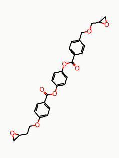 O=C(Oc1ccc(OC(=O)c2ccc(OCCC3CO3)cc2)cc1)c1ccc(COCC2CO2)cc1